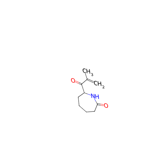 C=C(C)C(=O)C1CCCCC(=O)N1